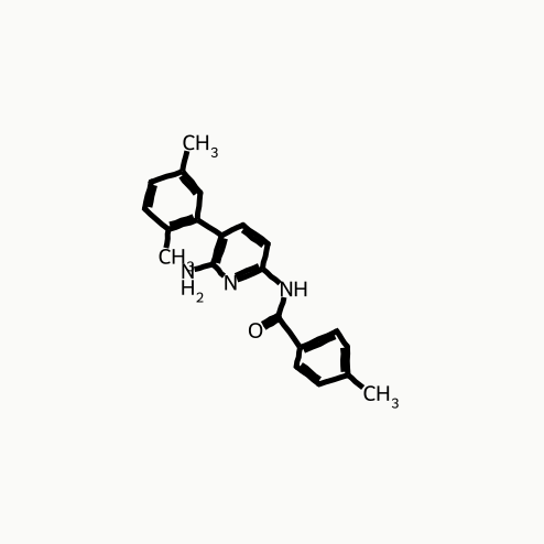 Cc1ccc(C(=O)Nc2ccc(-c3cc(C)ccc3C)c(N)n2)cc1